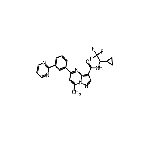 Cc1cc(-c2cccc(-c3ncccn3)c2)nc2c(C(=O)NC(C3CC3)C(F)(F)F)cnn12